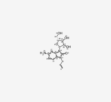 C=CCn1c(=O)n(C2O[C@H](CO)[C@@H](O)[C@H]2O)c2nc(N)ncc21